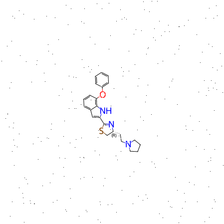 c1ccc(Oc2cccc3cc(C4=N[C@H](CCN5CCCC5)CS4)[nH]c23)cc1